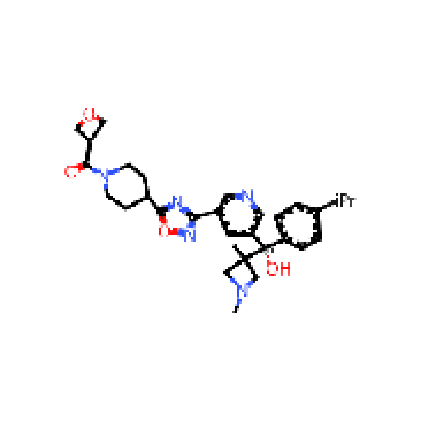 CC(C)c1ccc([C@](O)(c2cncc(-c3noc(C4CCN(C(=O)C5COC5)CC4)n3)c2)C2(C)CN(C)C2)cc1